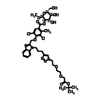 CO[C@H]1O[C@H](CO)[C@@H](O)[C@H](O)[C@H]1OC(=O)c1cc(Cl)c(OCc2nc3ccccc3n2CCCc2cn(CCOCCOCC(=O)OC(C)(C)C)nn2)c(Cl)c1C